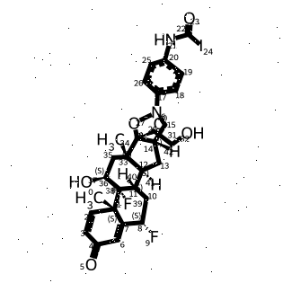 C[C@]12C=CC(=O)C=C1[C@@H](F)C[C@H]1[C@@H]3C[C@H]4CN(c5ccc(NC(=O)I)cc5)O[C@@]4(C(=O)CO)[C@@]3(C)C[C@H](O)[C@@]12F